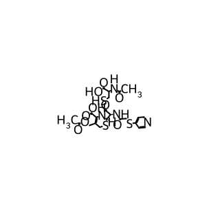 CC(=O)NC(CS)C(=O)O.CC(=O)OCC1=C(C(=O)O)N2C(=O)[C@@H](NC(=O)CSc3ccncc3)[C@H]2SC1